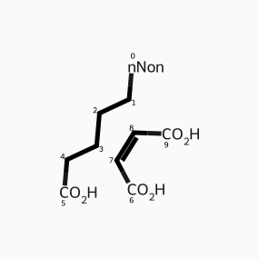 CCCCCCCCCCCCCC(=O)O.O=C(O)/C=C\C(=O)O